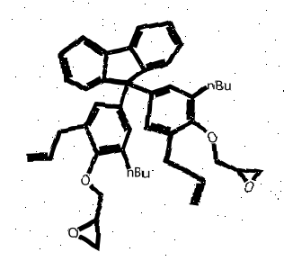 C=CCc1cc(C2(c3cc(CC=C)c(OCC4CO4)c(CCCC)c3)c3ccccc3-c3ccccc32)cc(CCCC)c1OCC1CO1